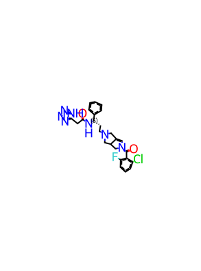 O=C(Cc1nnn[nH]1)N[C@@H](CCN1CC2=CN(C(=O)c3c(F)cccc3Cl)CC2C1)c1ccccc1